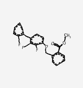 COC(=O)c1ccccc1COc1ccc(-c2ccccc2F)c(F)c1F